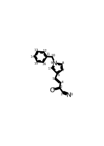 N#CC(=O)/C=C/c1ccn(Cc2ccccc2)c1